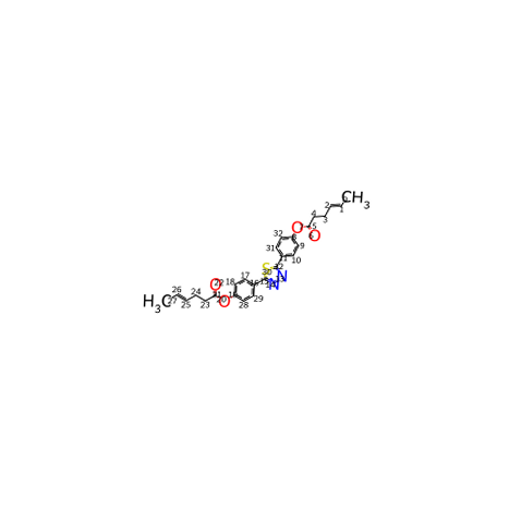 C/C=C/CCC(=O)Oc1ccc(-c2nnc(-c3ccc(OC(=O)CC/C=C/C)cc3)s2)cc1